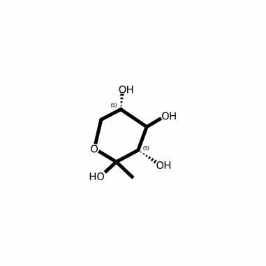 CC1(O)OC[C@H](O)C(O)[C@@H]1O